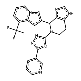 FC(F)(F)c1cccn2nc(C3c4nc[nH]c4CCN3c3nnc(-c4cccnc4)o3)cc12